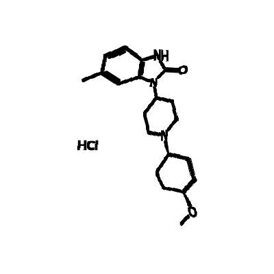 CO[C@H]1CC[C@@H](N2CCC(n3c(=O)[nH]c4ccc(C)cc43)CC2)CC1.Cl